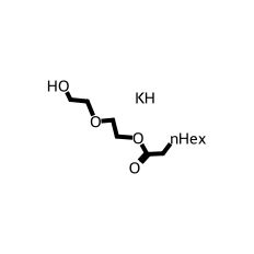 CCCCCCCC(=O)OCCOCCO.[KH]